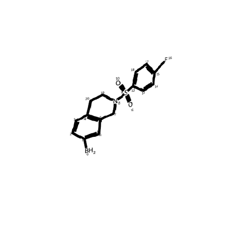 Bc1ccc2c(c1)CN(S(=O)(=O)c1ccc(F)cc1)CC2